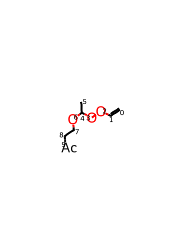 C=COOC(C)OCCC(C)=O